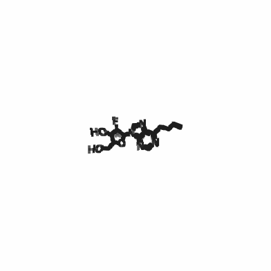 C=CCCc1ncnc2c1ncn2C1OC(CO)C(O)[C@H]1F